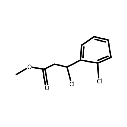 COC(=O)CC(Cl)c1ccccc1Cl